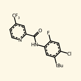 CC(C)(C)c1cc(NC(=O)c2cc(C(F)(F)F)ccn2)c(F)cc1Cl